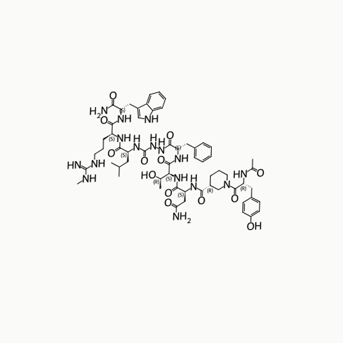 CNC(=N)NCCC[C@H](NC(=O)[C@H](CC(C)C)NC(=O)NNC(=O)[C@H](Cc1ccccc1)NC(=O)[C@@H](NC(=O)[C@H](CC(N)=O)NC(=O)[C@@H]1CCCN(C(=O)[C@@H](Cc2ccc(O)cc2)NC(C)=O)C1)[C@@H](C)O)C(=O)N[C@@H](Cc1c[nH]c2ccccc12)C(N)=O